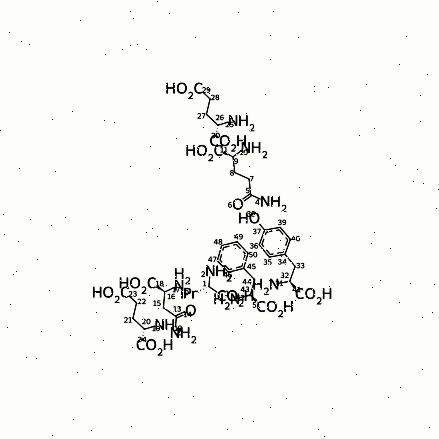 CC(C)[C@H](N)C(=O)O.NC(=O)CC[C@H](N)C(=O)O.NC(=O)C[C@H](N)C(=O)O.N[C@@H](CCC(=O)O)C(=O)O.N[C@@H](CCC(=O)O)C(=O)O.N[C@@H](Cc1ccc(O)cc1)C(=O)O.N[C@@H](Cc1ccccc1)C(=O)O